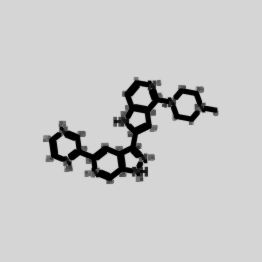 CN1CCN(c2nccc3[nH]c(-c4n[nH]c5cnc(-c6cnccn6)cc45)cc23)CC1